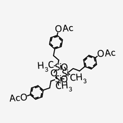 CC(=O)Oc1ccc(CC[Si]2(C)O[Si](C)(CCc3ccc(OC(C)=O)cc3)O[Si](C)(CCc3ccc(OC(C)=O)cc3)O2)cc1